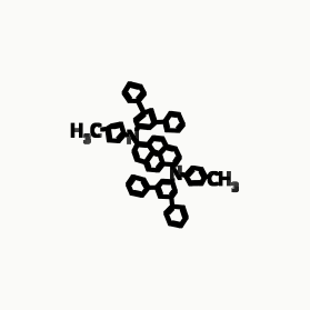 Cc1ccc(N(c2cc(-c3ccccc3)cc(-c3ccccc3)c2)c2ccc3ccc4c(N(c5ccc(C)cc5)c5cc(-c6ccccc6)cc(-c6ccccc6)c5)ccc5ccc2c3c54)cc1